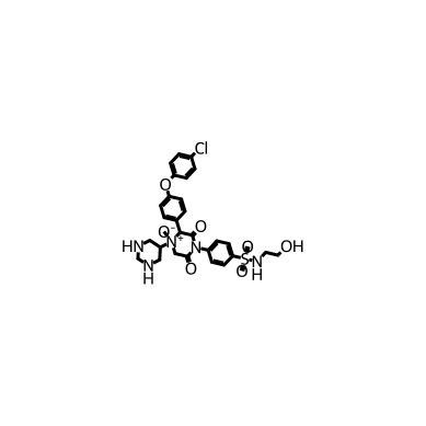 O=C1C[N+]([O-])(C2CNCNC2)C(c2ccc(Oc3ccc(Cl)cc3)cc2)C(=O)N1c1ccc(S(=O)(=O)NCCO)cc1